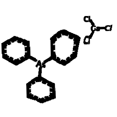 [Cl][Ga]([Cl])[Cl].c1ccc([As](c2ccccc2)c2ccccc2)cc1